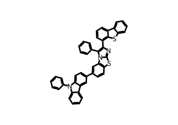 c1ccc(-c2c(-c3cccc4c3sc3ccccc34)nc3sc4ccc(-c5ccc6c(c5)c5ccccc5n6-c5ccccc5)cc4n23)cc1